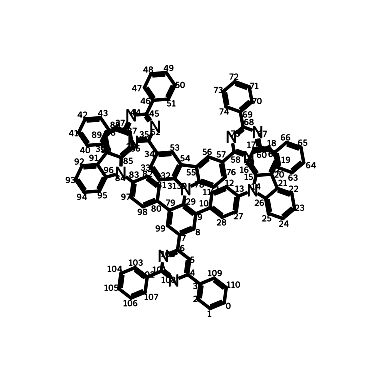 c1ccc(-c2cc(-c3cc(-c4ccc(-n5c6ccccc6c6ccccc65)cc4)c(-n4c5ccc(-c6nc(-c7ccccc7)nc(-c7ccccc7)n6)cc5c5cc(-c6nc(-c7ccccc7)nc(-c7ccccc7)n6)ccc54)c(-c4ccc(-n5c6ccccc6c6ccccc65)cc4)c3)nc(-c3ccccc3)n2)cc1